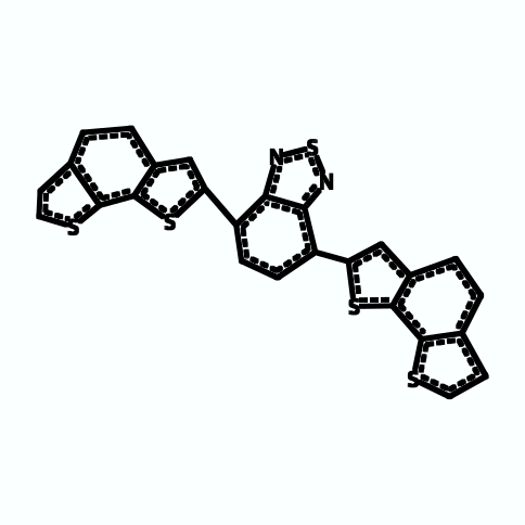 c1cc2ccc3cc(-c4ccc(-c5cc6ccc7ccsc7c6s5)c5nsnc45)sc3c2s1